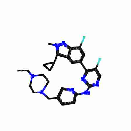 CCN1CCN(Cc2ccc(Nc3ncc(F)c(-c4cc(F)c5nn(C)c(C6CC6)c5c4)n3)nc2)CC1